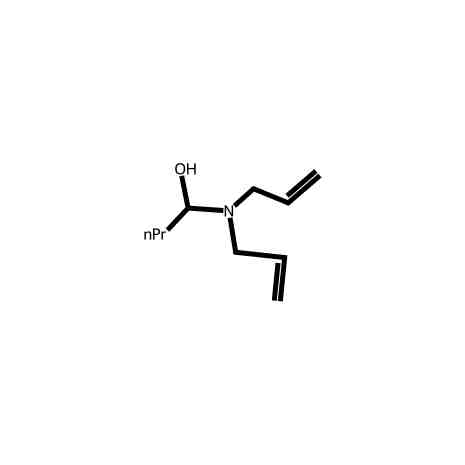 C=CCN(CC=C)C(O)CCC